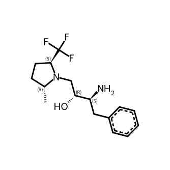 C[C@@H]1CC[C@@H](C(F)(F)F)N1C[C@@H](O)[C@@H](N)Cc1ccccc1